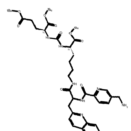 CC(C)(C)OC(=O)CC[C@H](NC(=O)N[C@@H](CCCCNC(=O)C(Cc1ccc2ccccc2n1)NC(=O)c1ccc(CN)cn1)C(=O)OC(C)(C)C)C(=O)OC(C)(C)C